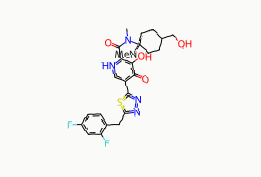 CNC1(N(C)C(=O)c2[nH]cc(-c3nnc(Cc4ccc(F)cc4F)s3)c(=O)c2O)CCC(CO)CC1